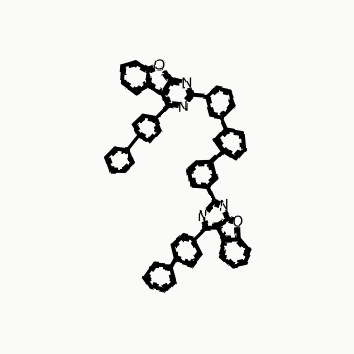 c1ccc(-c2ccc(-c3nc(-c4cccc(-c5cccc(-c6cccc(-c7nc(-c8ccc(-c9ccccc9)cc8)c8c(n7)oc7ccccc78)c6)c5)c4)nc4oc5ccccc5c34)cc2)cc1